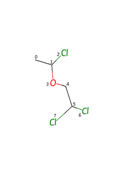 CC(Cl)OCC(Cl)Cl